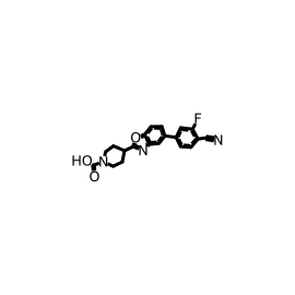 N#Cc1ccc(-c2ccc3oc(C4CCN(C(=O)O)CC4)nc3c2)cc1F